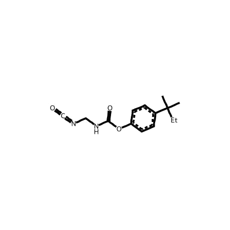 CCC(C)(C)c1ccc(OC(=O)NCN=C=O)cc1